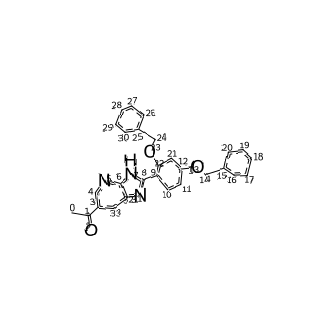 CC(=O)c1cnc2[nH]c(-c3ccc(OCc4ccccc4)cc3OCc3ccccc3)nc2c1